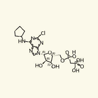 O=P(O)(O)CP(=O)(O)OC[C@H]1O[C@@H](n2cnc3c(NC4CCCC4)nc(Cl)nc32)[C@H](O)[C@@H]1O